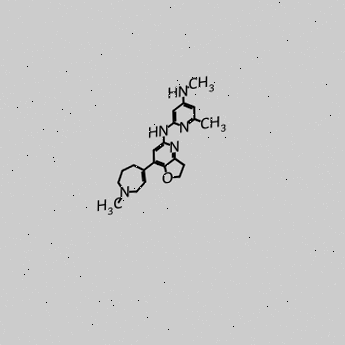 CNc1cc(C)nc(Nc2cc(C3=CCN(C)CCC3)c3c(n2)CCO3)c1